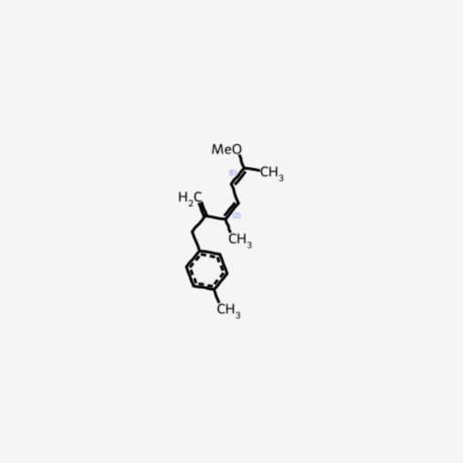 C=C(Cc1ccc(C)cc1)/C(C)=C\C=C(/C)OC